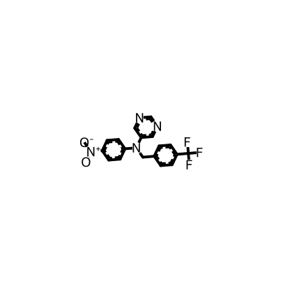 O=[N+]([O-])c1ccc(N(Cc2ccc(C(F)(F)F)cc2)c2cncnc2)cc1